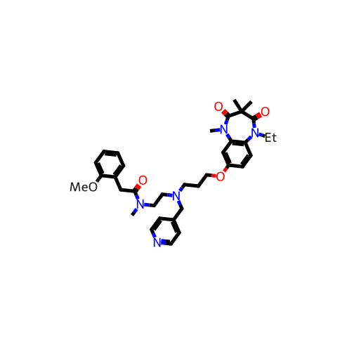 CCN1C(=O)C(C)(C)C(=O)N(C)c2cc(OCCCN(CCN(C)C(=O)Cc3ccccc3OC)Cc3ccncc3)ccc21